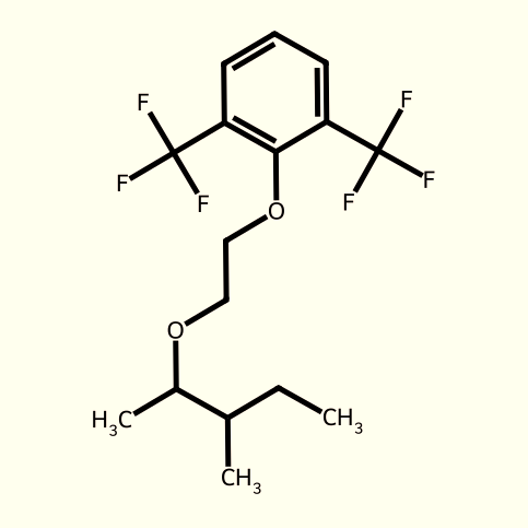 CCC(C)C(C)OCCOc1c(C(F)(F)F)cccc1C(F)(F)F